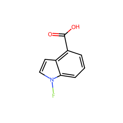 O=C(O)c1cccc2c1ccn2F